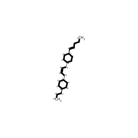 CCC/C=C/[C@H]1CC[C@H](C/C=C\C[C@H]2CC[C@H](CCC)CC2)CC1